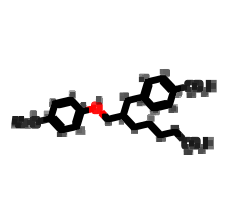 COc1ccc(OCC(CCCCC(=O)O)Cc2ccc(C(=O)O)cc2)cc1